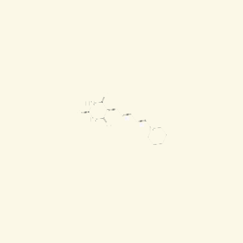 O=C1NC(=O)C(=C/C=C/C=C/N2CCCCC2)C(=O)N1